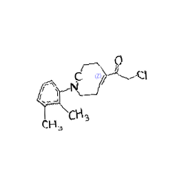 Cc1cccc(N2CC/C=C(\C(=O)CCl)CCC2)c1C